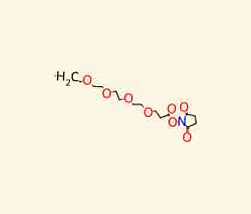 [CH2]COCCOCCOCCOCCC(=O)ON1C(=O)CCC1=O